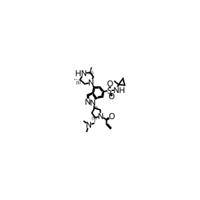 C=CC(=O)N1C[C@H](n2ncc3c(N4C[C@H](C)N[C@@H](C)C4)cc(S(=O)(=O)NC4(C)CC4)cc32)C[C@H]1CN(C)C